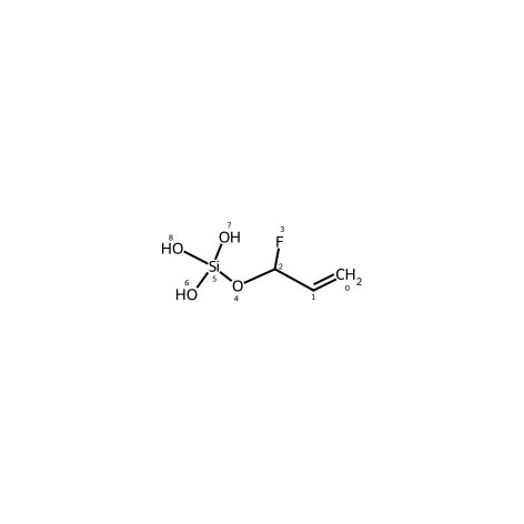 C=CC(F)O[Si](O)(O)O